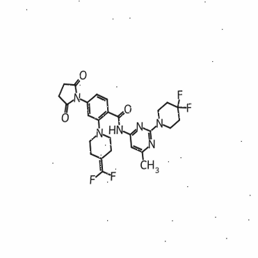 Cc1cc(NC(=O)c2ccc(N3C(=O)CCC3=O)cc2N2CCC(=C(F)F)CC2)nc(N2CCC(F)(F)CC2)n1